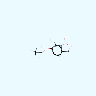 CCc1c(OCC(C)(N)C#N)ccc2c1B(O)OC2